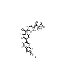 Cn1cc2cc(-c3ccc(C(=O)N4CCN(C(=O)C5(O)CC5)CC4)cc3)ccc2n1